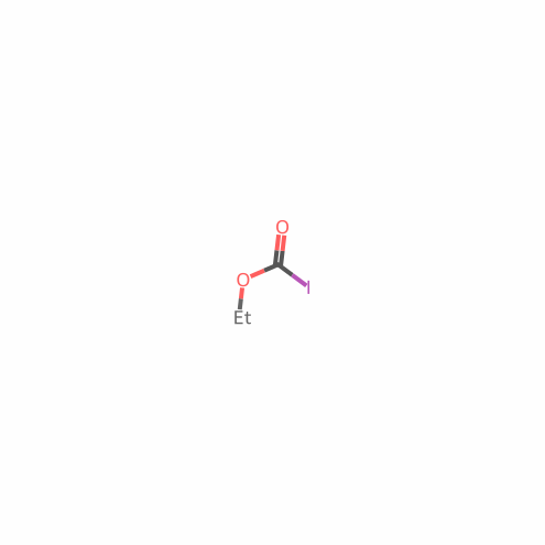 CCOC(=O)I